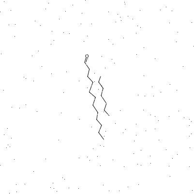 CCCCCCC.CCCCCCCCCCCC=O